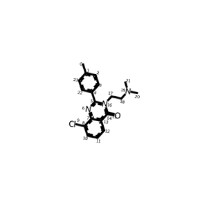 Cc1ccc(-c2nc3c(Cl)cccc3c(=O)n2CCN(C)C)cc1